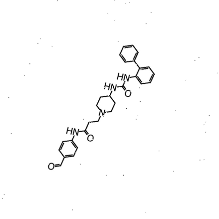 O=Cc1ccc(NC(=O)CCN2CCC(NC(=O)Nc3ccccc3-c3ccccc3)CC2)cc1